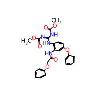 COC(=O)/N=C(/NC(=O)OC)Nc1ccc(Oc2ccccc2)cc1NC(=O)COc1ccccc1